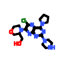 OCC1COCCN1c1nc2nc(N3CCNCC3)nc(N3CCCC3)c2nc1Cl